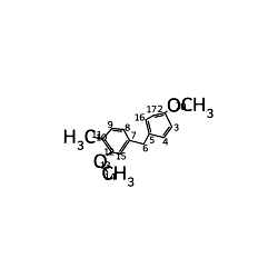 COc1ccc(Cc2ccc(C)c(OC)c2)cc1